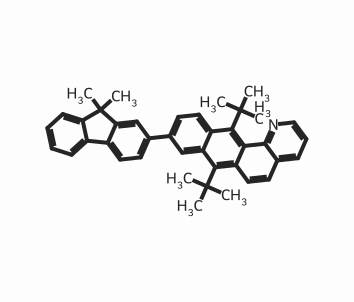 CC(C)(C)c1c2cc(-c3ccc4c(c3)C(C)(C)c3ccccc3-4)ccc2c(C(C)(C)C)c2c1ccc1cccnc12